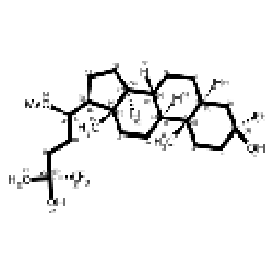 CC[C@]1(O)CC[C@@]2(C)[C@@H](CC[C@@H]3[C@@H]2CC[C@]2(C)[C@@H]([C@@H](CC[C@](C)(O)C(F)(F)F)OC)CC[C@@H]32)C1